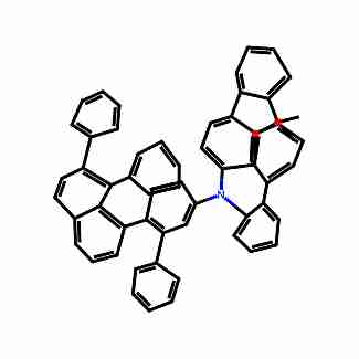 CC1(C)c2ccccc2-c2ccc(N(c3ccc(-c4cccc5ccc(-c6ccccc6)c(-c6ccccc6)c45)c(-c4ccccc4)c3)c3ccccc3-c3ccccc3)cc21